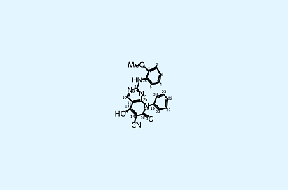 COc1ccccc1Nc1ncc2c(O)c(C#N)c(=O)n(-c3ccccc3)c2n1